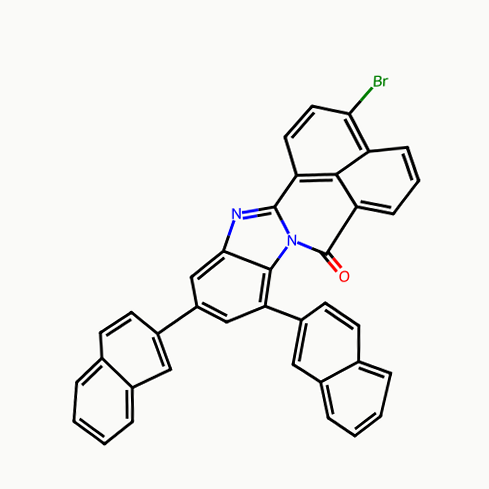 O=c1c2cccc3c(Br)ccc(c32)c2nc3cc(-c4ccc5ccccc5c4)cc(-c4ccc5ccccc5c4)c3n12